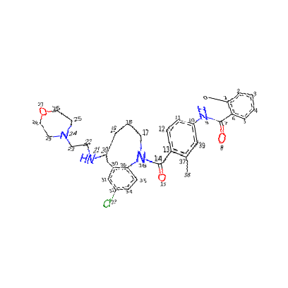 Cc1ccccc1C(=O)Nc1ccc(C(=O)N2CCCC(NCCN3CCOCC3)c3cc(Cl)ccc32)c(C)c1